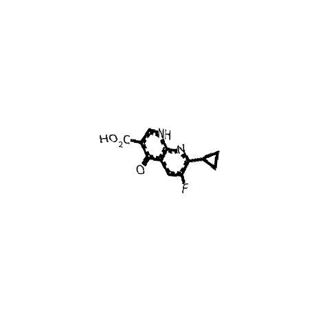 O=C(O)c1c[nH]c2nc(C3CC3)c(F)cc2c1=O